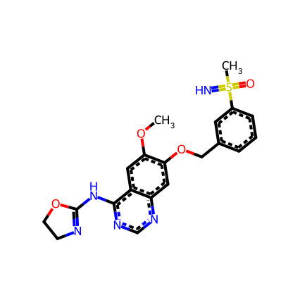 COc1cc2c(NC3=NCCO3)ncnc2cc1OCc1cccc(S(C)(=N)=O)c1